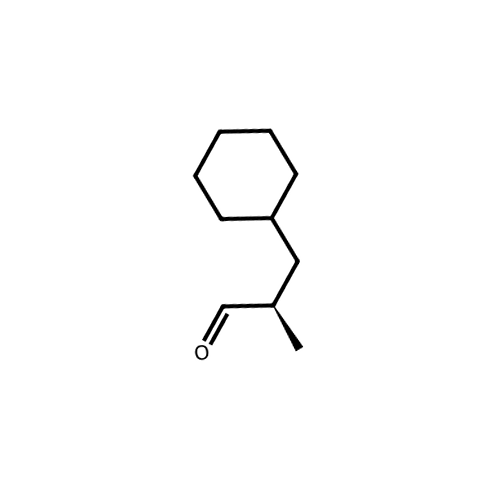 C[C@@H](C=O)CC1CCCCC1